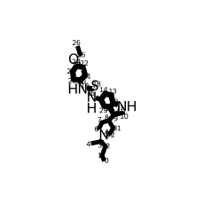 CCCC(C)N1CCC(c2c[nH]c3ccc(NC(=S)Nc4ccc(OCC)cc4)cc23)CC1